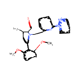 COc1cccc(OC)c1C1CC(C)C(C=O)N1Cc1cccc(-n2cccn2)n1